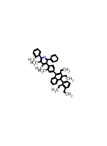 C=Cc1cccc(-c2c(C=C)c(C=C)c(-c3ccc(-c4c(C5=CCCC=C5)nc(-c5ccccc5C)c(C)c4C)c(C)c3)c3ccccc23)c1C=C